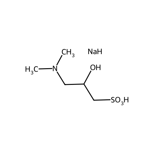 CN(C)CC(O)CS(=O)(=O)O.[NaH]